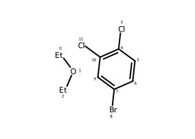 CCOCC.Clc1ccc(Br)cc1Cl